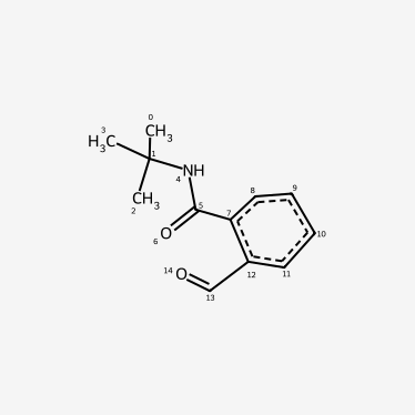 CC(C)(C)NC(=O)c1ccccc1C=O